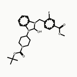 COC(=O)c1ccc(CN2c3ccccc3N(C3CCN(C(=O)OC(C)(C)C)CC3)C2O)c(F)c1